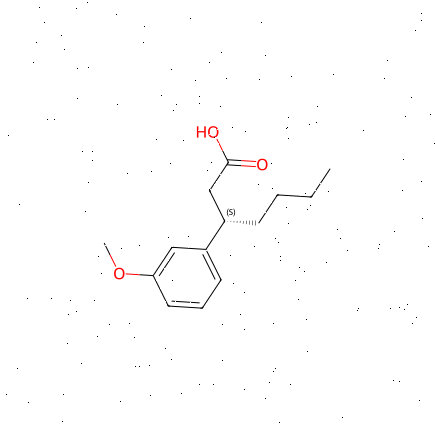 CCCC[C@@H](CC(=O)O)c1cccc(OC)c1